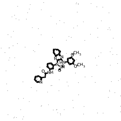 COc1cc(Nc2nc3ccccc3nc2N(c2cccc(NC(=O)Cc3ccccn3)c2)[SH](=O)=O)cc(OC)c1